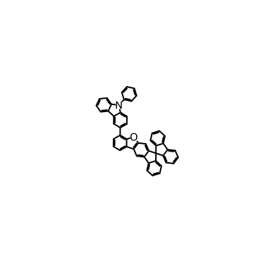 c1ccc(-n2c3ccccc3c3cc(-c4cccc5c4oc4cc6c(cc45)-c4ccccc4C64c5ccccc5-c5ccccc54)ccc32)cc1